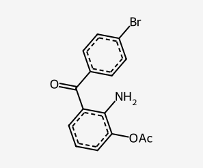 CC(=O)Oc1cccc(C(=O)c2ccc(Br)cc2)c1N